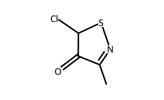 CC1=NSC(Cl)C1=O